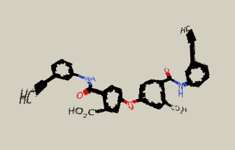 C#Cc1cccc(NC(=O)c2ccc(Oc3ccc(C(=O)Nc4cccc(C#C)c4)c(C(=O)O)c3)cc2C(=O)O)c1